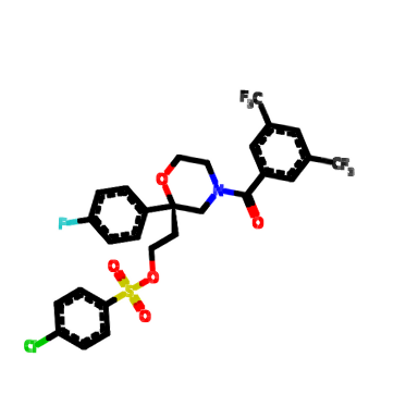 O=C(c1cc(C(F)(F)F)cc(C(F)(F)F)c1)N1CCO[C@@](CCOS(=O)(=O)c2ccc(Cl)cc2)(c2ccc(F)cc2)C1